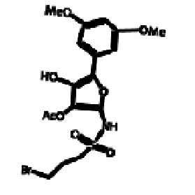 COc1cc(OC)cc(-c2oc(NS(=O)(=O)CCCBr)c(OC(C)=O)c2O)c1